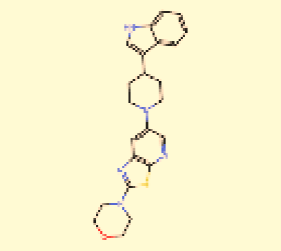 c1ccc2c(C3CCN(c4cnc5sc(N6CCOCC6)nc5c4)CC3)c[nH]c2c1